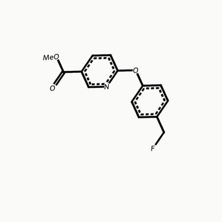 COC(=O)c1ccc(Oc2ccc(CF)cc2)nc1